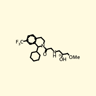 COC[C@@H](O)CNCC(=O)N1CCc2ccc(C(F)(F)F)cc2C1C1CCCCC1